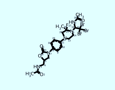 CC(=O)NCC1CN(c2ccc(N3CCN(C(NC(C)=O)C(Br)(Br)Br)[C@@](C)(F)C3)cc2)C(=O)O1